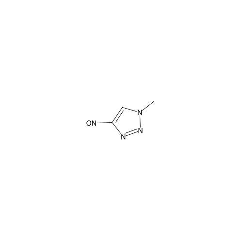 Cn1cc(N=O)nn1